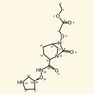 CCOC(=O)CON1C(=O)N2CC1CCC2C(=O)NO[C@H]1CCNC1